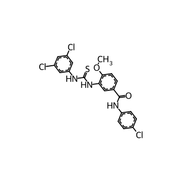 COc1ccc(C(=O)Nc2ccc(Cl)cc2)cc1NC(=S)Nc1cc(Cl)cc(Cl)c1